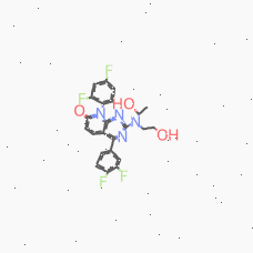 CC(O)N(CCO)c1nc(-c2ccc(F)c(F)c2)c2ccc(=O)n(-c3ccc(F)cc3F)c2n1